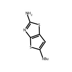 CCCCc1cc2sc(N)nc2s1